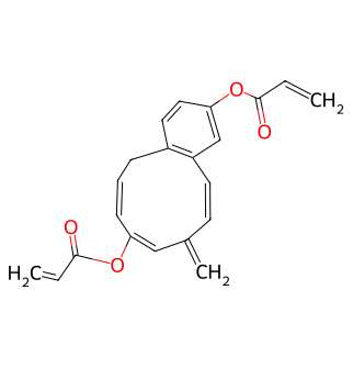 C=CC(=O)OC1=C/C(=C)/C=C\c2cc(OC(=O)C=C)ccc2C/C=C\1